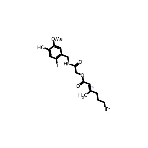 COc1cc(CNC(=O)COC(=O)/C=C(\C)CCCC(C)C)c(I)cc1O